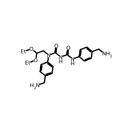 CCOC(CN(C(=O)NC(=O)Nc1ccc(CN)cc1)c1ccc(CN)cc1)OCC